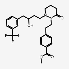 COC(=O)c1ccc(CCN2C(=O)CCCN2CCC(O)Cc2cccc(C(F)(F)F)c2)cc1